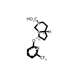 O=C(O)N1CC[C@@H]2CC[C@H](Oc3cccc(C(F)(F)F)n3)N2C1